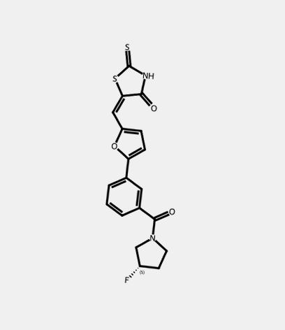 O=C1NC(=S)SC1=Cc1ccc(-c2cccc(C(=O)N3CC[C@H](F)C3)c2)o1